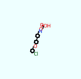 O=C(O)CON=Cc1ccc(-c2ccc(OCc3cccc(Cl)c3)cc2)cc1